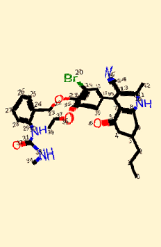 CCCC1CC(=O)C2=C(C1)NC(C)=C(C#N)C2c1cc(Br)c(OCc2ccccc2NC(=O)NC)c(OCC)c1